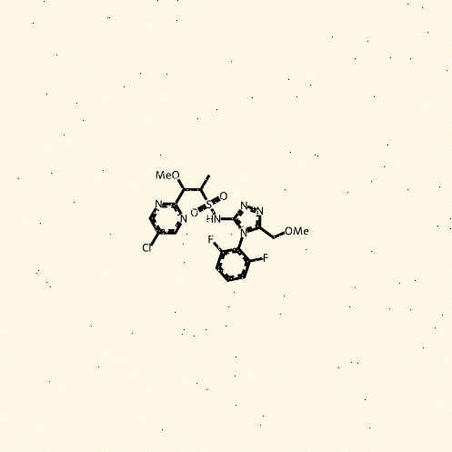 COCc1nnc(NS(=O)(=O)C(C)C(OC)c2ncc(Cl)cn2)n1-c1c(F)cccc1F